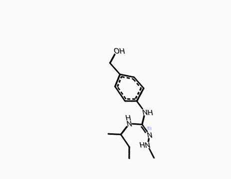 CCC(C)N/C(=N\NC)Nc1ccc(CO)cc1